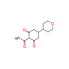 CCCC(=O)C1C(=O)CC(C2CCOCC2)CC1=O